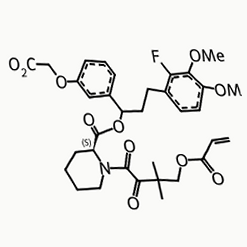 C=CC(=O)OCC(C)(C)C(=O)C(=O)N1CCCC[C@H]1C(=O)OC(CCc1ccc(OC)c(OC)c1F)c1cccc(OCC(=O)O)c1